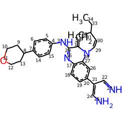 C=C1C(Nc2ccc(C3CCOCC3)cc2)=Nc2ccc(/C(C=N)=C/N)cc2N1/C=C\C(C)CC